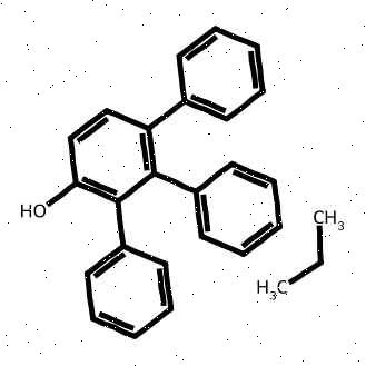 CCC.Oc1ccc(-c2ccccc2)c(-c2ccccc2)c1-c1ccccc1